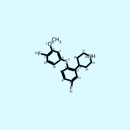 COc1cc(Sc2ccc(F)cc2C2CCNCC2)ccc1F